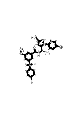 C[C@H](NC(=O)c1cc(OC(F)(F)F)cc(S(=O)(=O)c2ccc(Cl)cc2)c1)c1nc(N)nn1-c1ccc(C#N)cn1